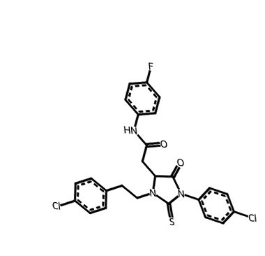 O=C(CC1C(=O)N(c2ccc(Cl)cc2)C(=S)N1CCc1ccc(Cl)cc1)Nc1ccc(F)cc1